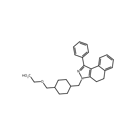 O=C(O)COCC1CCC(Cn2nc(-c3ccccc3)c3c2CCc2ccccc2-3)CC1